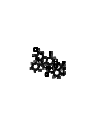 O=C(NCC(c1ccccc1)(c1cc(O)cc(F)c1)c1ccc(Cl)cn1)c1ccc(F)c(C(F)(F)F)c1